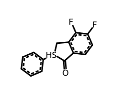 O=C1c2ccc(F)c(F)c2C[SH]1c1ccccc1